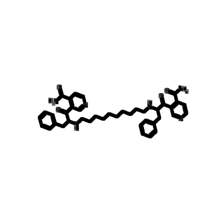 NC(=O)c1ccncc1C(=O)C(Cc1ccccc1)NCCCCCCCCCCNC(Cc1ccccc1)C(=O)c1cnccc1C(N)=O